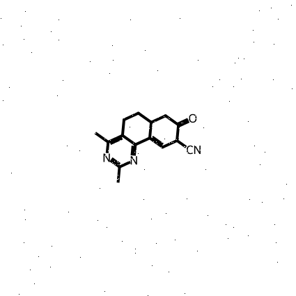 Cc1nc(C)c2c(n1)C1=CC(C#N)C(=O)CC1CC2